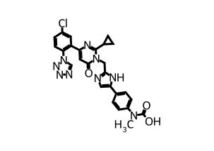 CN(C(=O)O)c1ccc(-c2cnc(Cn3c(C4CC4)nc(-c4cc(Cl)ccc4-n4cnnn4)cc3=O)[nH]2)cc1